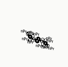 CCCC(CCC)Oc1cc(OC(CCC)CCC)c(C(=O)Oc2cccc3c(OC(=O)c4c(OC(CCC)CCC)cc(OC(CCC)CCC)cc4OC(CCC)CCC)cccc23)c(OC(CCC)CCC)c1